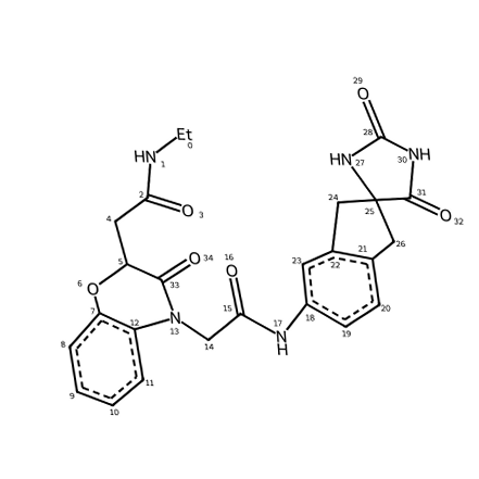 CCNC(=O)CC1Oc2ccccc2N(CC(=O)Nc2ccc3c(c2)CC2(C3)NC(=O)NC2=O)C1=O